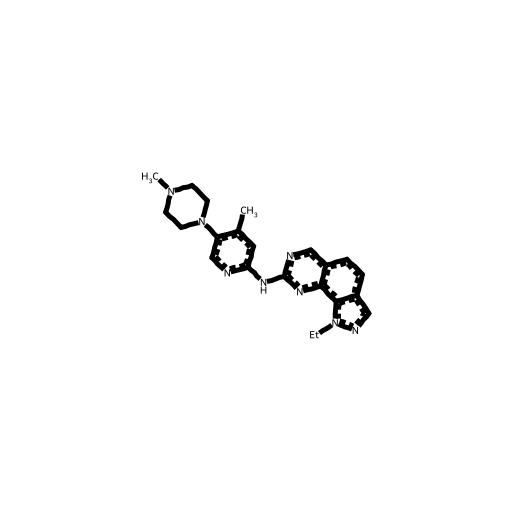 CCn1ncc2ccc3cnc(Nc4cc(C)c(N5CCN(C)CC5)cn4)nc3c21